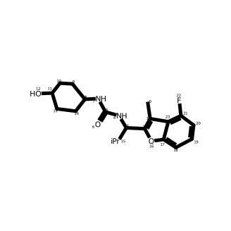 Cc1c(C(NC(=O)NC2CCC(O)CC2)C(C)C)oc2cccc(F)c12